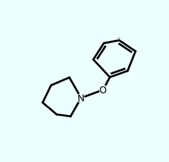 [c]1ccc(ON2CCCCC2)cc1